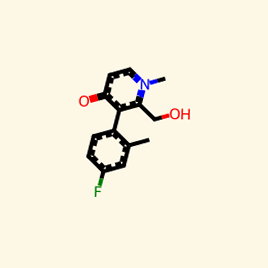 Cc1cc(F)ccc1-c1c(CO)n(C)ccc1=O